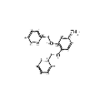 [CH2]c1ccc(OCc2ccccc2)c(OCc2ccccc2)c1